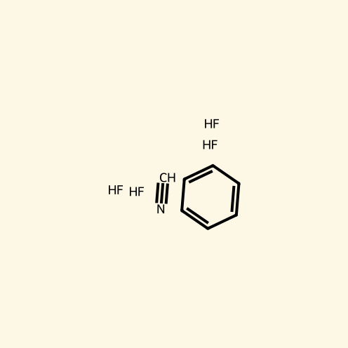 C#N.F.F.F.F.c1ccccc1